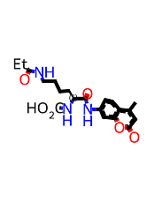 CCC(=O)NCCCC[C@H](NC(=O)O)C(=O)Nc1ccc2c(C)cc(=O)oc2c1